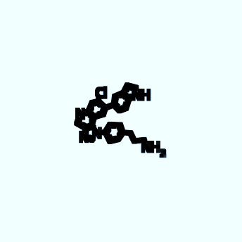 NCCCc1ccc(-n2cnc3cnc4cc(Cl)c(-c5ccc6[nH]ccc6c5)cc4c32)cc1